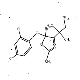 CC(=O)OC(Br)(Oc1ccc(Cl)cc1Cl)C(=O)C(C)(C)CN